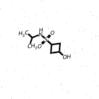 CC(C)NS(=O)(=O)C1CC(O)C1